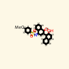 COc1ccc(S(=O)(=O)/N=C2/C=C(c3c(O)ccc4ccccc34)C(=O)c3ccccc32)cc1